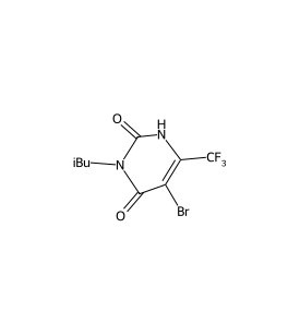 CCC(C)n1c(=O)[nH]c(C(F)(F)F)c(Br)c1=O